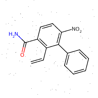 C=Cc1c(C(N)=O)ccc([N+](=O)[O-])c1-c1ccccc1